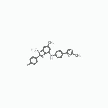 Cc1cc(Nc2ccc(-c3cnc(C)o3)cc2)c2nc(-c3ccc(F)cc3)n(C)c2c1